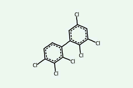 Clc1cc(Cl)c(Cl)c(-c2ccc(Cl)c(Cl)c2Cl)c1